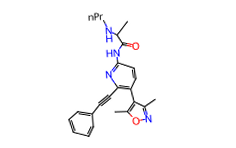 CCCNC(C)C(=O)Nc1ccc(-c2c(C)noc2C)c(C#Cc2ccccc2)n1